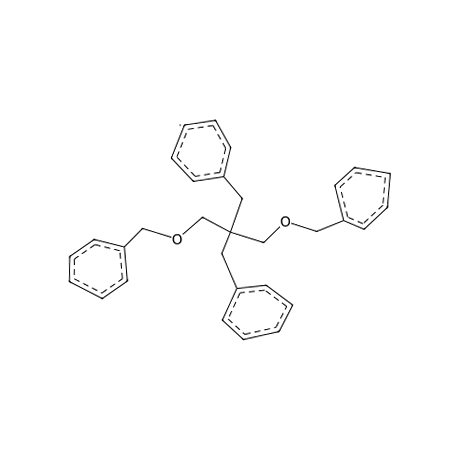 [c]1ccc(CC(COCc2ccccc2)(COCc2ccccc2)Cc2ccccc2)cc1